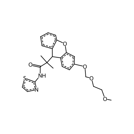 COCCOCOc1ccc2c(c1)Oc1ccccc1C2C(C)(C)C(=O)Nc1nccs1